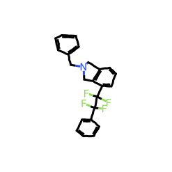 FC(F)(c1ccccc1)C(F)(F)c1cccc2c1CN(Cc1ccccc1)C2